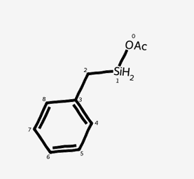 CC(=O)O[SiH2]Cc1ccccc1